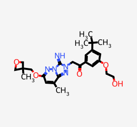 Cc1cc(OCC2(C)COC2)nn2c(=N)n(CC(=O)c3cc(OCCO)cc(C(C)(C)C)c3)nc12